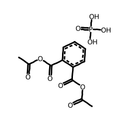 CC(=O)OC(=O)c1ccccc1C(=O)OC(C)=O.O=P(O)(O)O